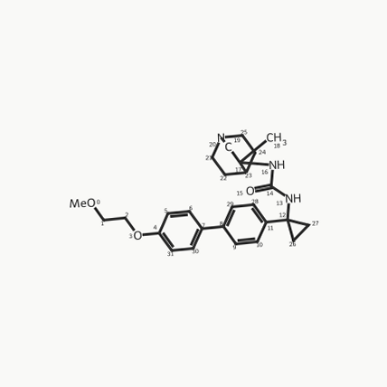 COCCOc1ccc(-c2ccc(C3(NC(=O)NC4(C)CN5CCC4CC5)CC3)cc2)cc1